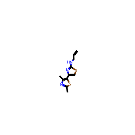 C=CCNc1nc(-c2sc(C)nc2C)cs1